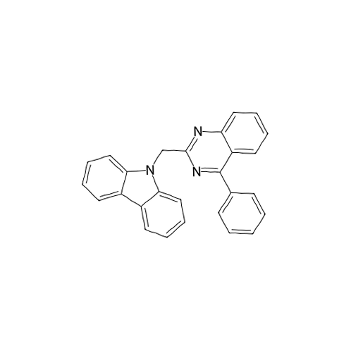 c1ccc(-c2nc(Cn3c4ccccc4c4ccccc43)nc3ccccc23)cc1